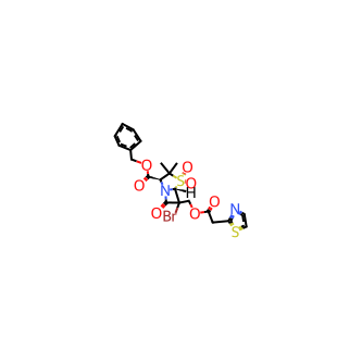 CC1(C)[C@H](C(=O)OCc2ccccc2)N2C(=O)C(Br)(COC(=O)Cc3nccs3)[C@H]2S1(=O)=O